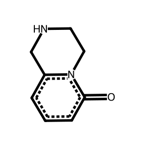 O=c1cccc2n1CCNC2